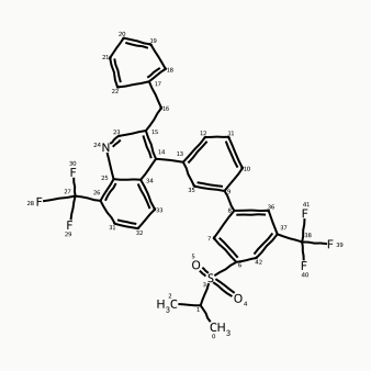 CC(C)S(=O)(=O)c1cc(-c2cccc(-c3c(Cc4ccccc4)cnc4c(C(F)(F)F)cccc34)c2)cc(C(F)(F)F)c1